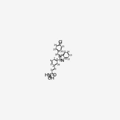 O=C(/C=C/c1cccc(-c2nc3ccccc3n2Cc2ccc(Cl)cc2)c1)NO